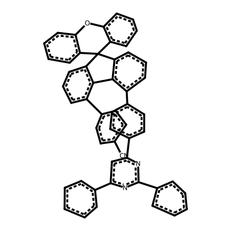 N#Cc1ccc(-c2cccc3c2-c2c(-c4ccc(-c5cc(-c6ccccc6)nc(-c6ccccc6)n5)cc4)cccc2C32c3ccccc3Oc3ccccc32)cc1